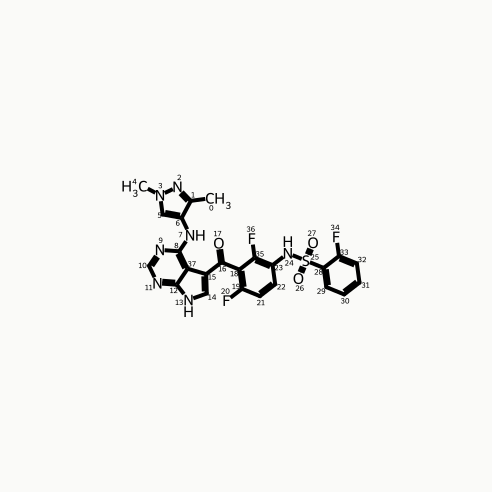 Cc1nn(C)cc1Nc1ncnc2[nH]cc(C(=O)c3c(F)ccc(NS(=O)(=O)c4ccccc4F)c3F)c12